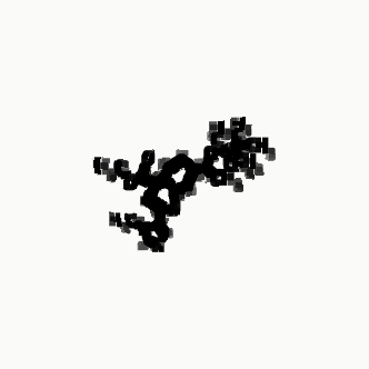 COC(=O)c1cc(-c2cncn2C)nc2cc(C(C)O[Si](C)(C)C(C)(C)C)ccc12